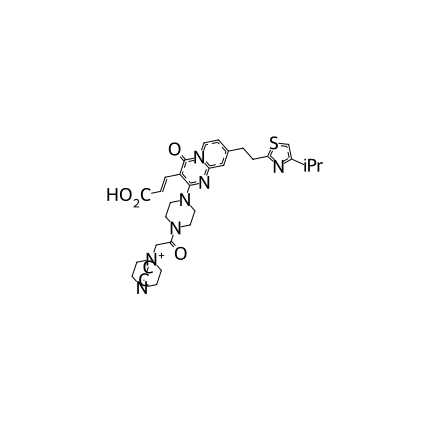 CC(C)c1csc(CCc2ccn3c(=O)c(C=CC(=O)O)c(N4CCN(C(=O)C[N+]56CCN(CC5)CC6)CC4)nc3c2)n1